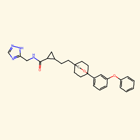 O=C(NCc1ncn[nH]1)C1CC1CCC12CCC(c3cccc(Oc4ccccc4)c3)(CC1)OC2